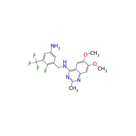 COc1cc2nc(C)nc(NCc3cc(N)cc(C(F)(F)F)c3F)c2cc1OC